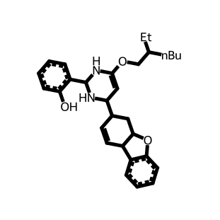 CCCCC(CC)COC1=CC(C2C=CC3c4ccccc4OC3C2)NC(c2ccccc2O)N1